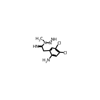 CN(N=N)C(=N)Cc1cc(Cl)c(Cl)cc1N